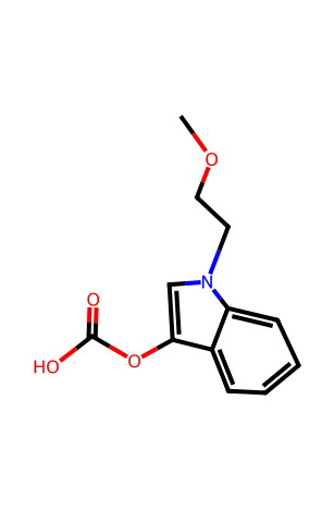 COCCn1cc(OC(=O)O)c2ccccc21